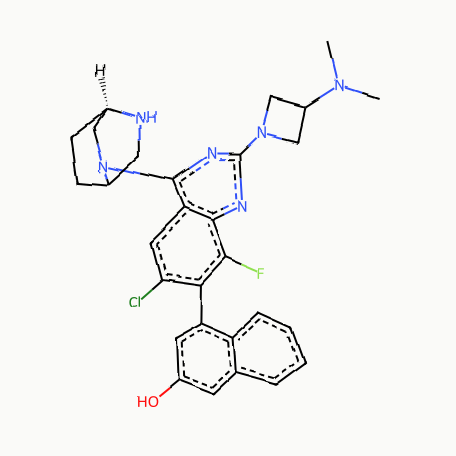 CN(C)C1CN(c2nc(N3C[C@H]4CCC3CN4)c3cc(Cl)c(-c4cc(O)cc5ccccc45)c(F)c3n2)C1